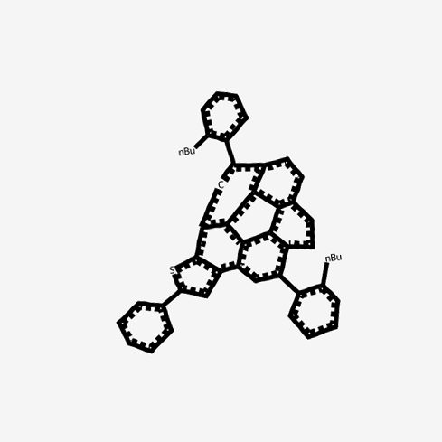 CCCCc1ccccc1-c1cc2c3cc(-c4ccccc4)sc3c3cc(-c4ccccc4CCCC)c4ccc5ccc1c1c5c4c3c21